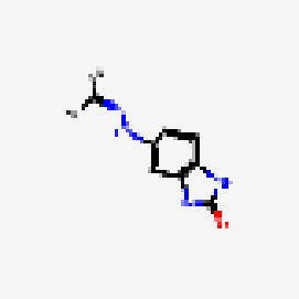 N#CC(C#N)=NNc1ccc2[nH]c(=O)[nH]c2c1